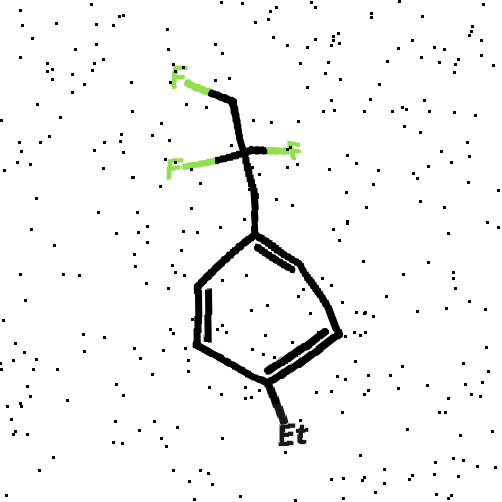 CCc1ccc(C(F)(F)CF)cc1